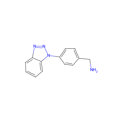 NCc1ccc(-n2nnc3ccccc32)cc1